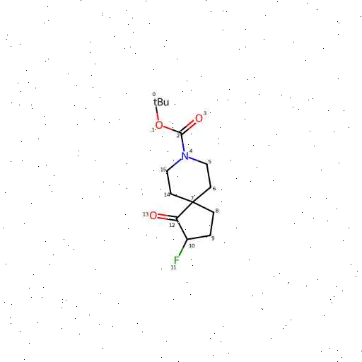 CC(C)(C)OC(=O)N1CCC2(CCC(F)C2=O)CC1